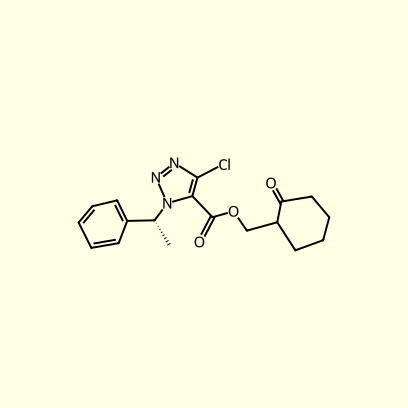 C[C@H](c1ccccc1)n1nnc(Cl)c1C(=O)OCC1CCCCC1=O